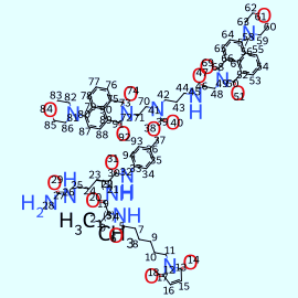 CC(C)[C@H](NC(=O)CCCCCN1C(=O)C=CC1=O)C(=O)N[C@@H](CCCNC(N)=O)C(=O)Nc1ccc(COC(=O)N(CCCNC(=O)CN2C(=O)c3cccc4c(N5CCOCC5)ccc(c34)C2=O)CCN2C(=O)c3cccc4c(N5CCOCC5)ccc(c34)C2=O)cc1